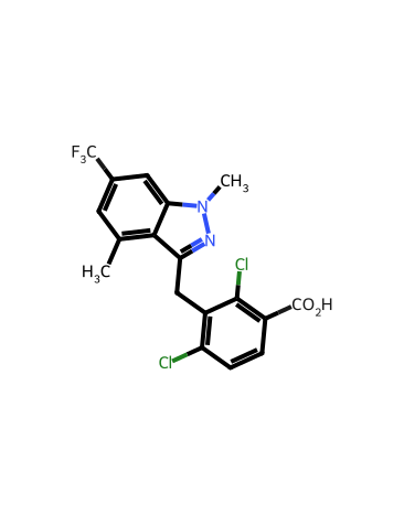 Cc1cc(C(F)(F)F)cc2c1c(Cc1c(Cl)ccc(C(=O)O)c1Cl)nn2C